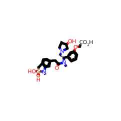 CN(C(=O)Cc1ccc2c(c1)N(C)S(O)(O)C2)[C@H](CN1CCC(O)C1)c1cccc(OCC(=O)O)c1